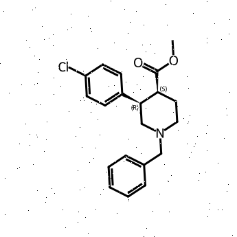 COC(=O)[C@H]1CCN(Cc2ccccc2)C[C@H]1c1ccc(Cl)cc1